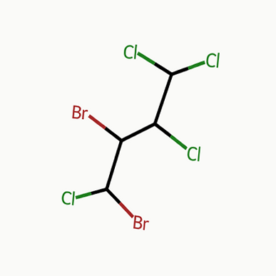 ClC(Cl)C(Cl)C(Br)C(Cl)Br